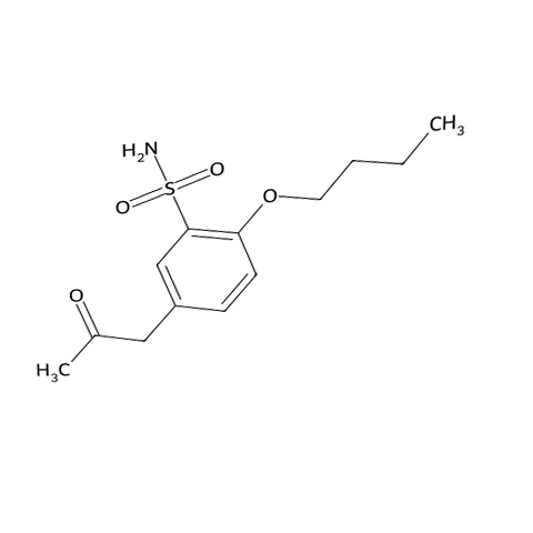 CCCCOc1ccc(CC(C)=O)cc1S(N)(=O)=O